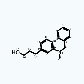 CN(Cc1ccccc1)c1cccc(CCCO)c1